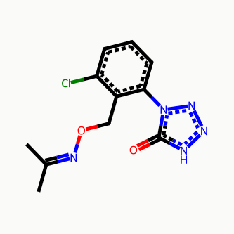 CC(C)=NOCc1c(Cl)cccc1-n1nn[nH]c1=O